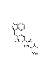 CC(F)C(CO)NC(=O)C1C=C2c3cccc4scc(c34)CC2N(C)C1